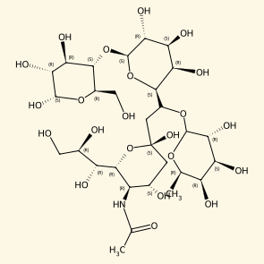 CC(=O)N[C@H]1[C@H]([C@H](O)[C@H](O)CO)O[C@](O)(CC(OC2O[C@H](C)[C@H](O)[C@H](O)[C@H]2O)[C@H]2O[C@@H](O[C@H]3[C@H](O)[C@@H](O)[C@@H](O)O[C@@H]3CO)[C@H](O)[C@@H](O)[C@H]2O)C[C@@H]1O